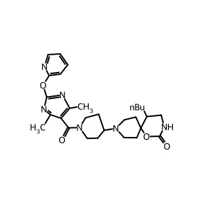 CCCCC1CNC(=O)OC12CCN(C1CCN(C(=O)c3c(C)nc(Oc4ccccn4)nc3C)CC1)CC2